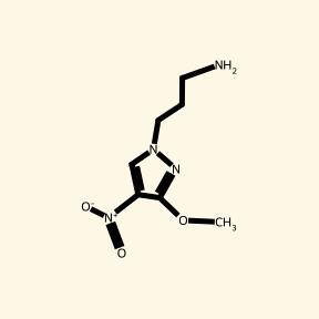 COc1nn(CCCN)cc1[N+](=O)[O-]